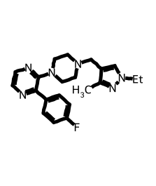 CCn1cc(CN2CCN(c3nccnc3-c3ccc(F)cc3)CC2)c(C)n1